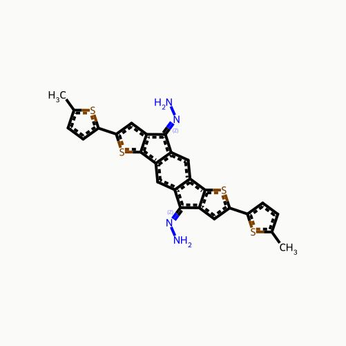 Cc1ccc(-c2cc3/c(=N\N)c4cc5c(cc4c3s2)/c(=N/N)c2cc(-c3ccc(C)s3)sc25)s1